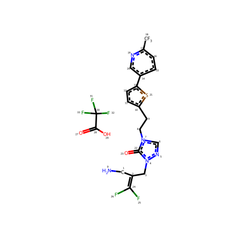 NCC(Cn1ncn(CCc2ccc(-c3ccc(C(F)(F)F)nc3)s2)c1=O)=C(F)F.O=C(O)C(F)(F)F